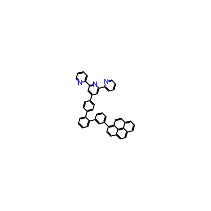 c1ccc(-c2cc(-c3ccc(-c4ccccc4-c4cccc(-c5ccc6ccc7cccc8ccc5c6c78)c4)cc3)cc(-c3ccccn3)n2)nc1